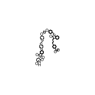 O=C1CCC(N2C(=O)c3ccc(N4CCN(CCN5CCC(OC6CC(Oc7ccc(CN8C(=O)/C(=C/C=C/c9ccc([N+](=O)[O-])cc9)c9ccccc98)cc7)C6)CC5)CC4)cc3C2=O)C(=O)N1